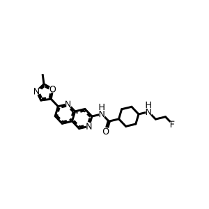 Cc1ncc(-c2ccc3cnc(NC(=O)C4CCC(NCCF)CC4)cc3n2)o1